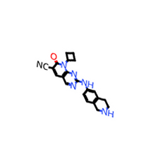 N#Cc1cc2cnc(Nc3ccc4c(c3)CCNC4)nc2n(C2CCC2)c1=O